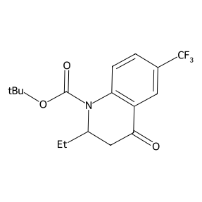 CCC1CC(=O)c2cc(C(F)(F)F)ccc2N1C(=O)OC(C)(C)C